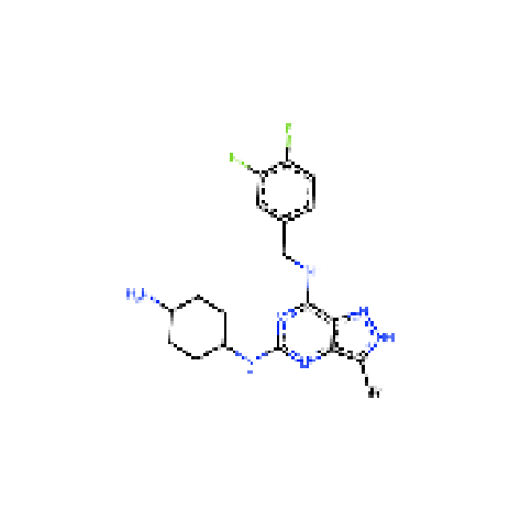 CC(C)c1[nH]nc2c(NCc3ccc(F)c(F)c3)nc(NC3CCC(N)CC3)nc12